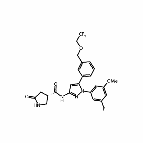 COc1cc(F)cc(-n2nc(NC(=O)[C@@H]3CNC(=O)C3)cc2-c2cccc(COCC(F)(F)F)c2)c1